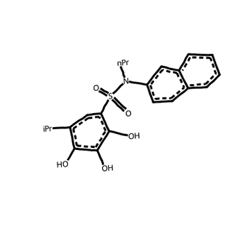 CCCN(c1ccc2ccccc2c1)S(=O)(=O)c1cc(C(C)C)c(O)c(O)c1O